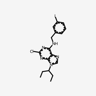 CCC(CC)n1cnc2c(NCc3cccc(I)c3)nc(Cl)nc21